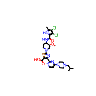 CO[C@H]1CN(c2nc(-c3nccc(N4CCN(CC(C)C)CC4)n3)c(C(=O)O)s2)CC[C@H]1NC(=O)c1[nH]c(C)c(Cl)c1Cl